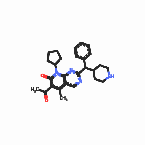 CC(=O)c1c(C)c2cnc(C(c3ccccc3)C3CCNCC3)nc2n(C2CCCC2)c1=O